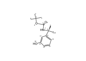 CC(C)(C)OC(=O)N[C@](C)(I)c1cccc(O)c1